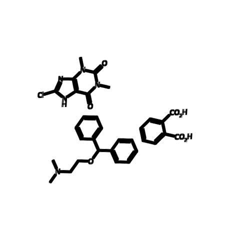 CN(C)CCOC(c1ccccc1)c1ccccc1.Cn1c(=O)c2[nH]c(Cl)nc2n(C)c1=O.O=C(O)c1ccccc1C(=O)O